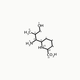 CC(CO)C(N)C1CCCC(C(=O)O)N1